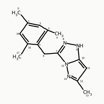 Cc1cc(C)c(Cc2n[nH]c3cc(C)nn23)c(C)c1